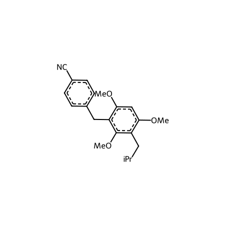 COc1cc(OC)c(CC(C)C)c(OC)c1Cc1ccc(C#N)cc1